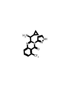 NC(c1nc2cccc(C(F)(F)F)c2c(=O)n1-c1cc[nH]n1)C1CC1